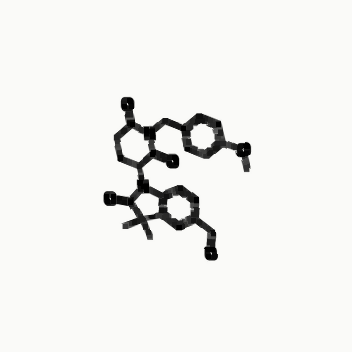 COc1ccc(CN2C(=O)CCC(N3C(=O)C(C)(C)c4cc(C=O)ccc43)C2=O)cc1